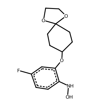 ONc1ccc(F)cc1OC1CCC2(CC1)OCCO2